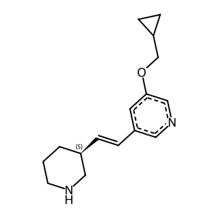 C(=C[C@@H]1CCCNC1)c1cncc(OCC2CC2)c1